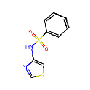 O=S(=O)(Nc1cscn1)c1ccccc1